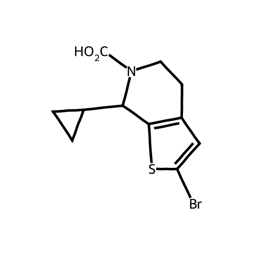 O=C(O)N1CCc2cc(Br)sc2C1C1CC1